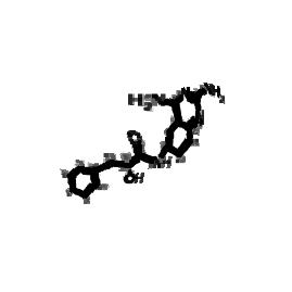 Nc1nc(N)c2cc(NC(=O)[C@H](O)Cc3ccccc3)ccc2n1